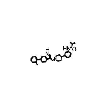 Cc1ccccc1-c1ccc2c(CN3CCC(c4cccc(NC(=O)C(C)C)c4)CC3)c[nH]c2c1